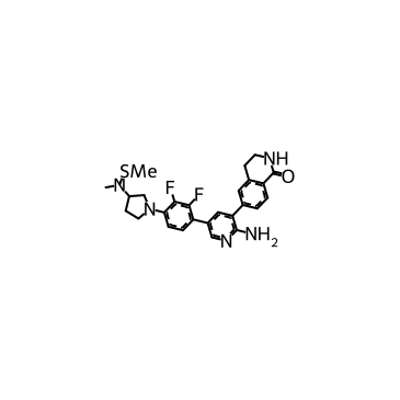 CSN(C)C1CCN(c2ccc(-c3cnc(N)c(-c4ccc5c(c4)CCNC5=O)c3)c(F)c2F)C1